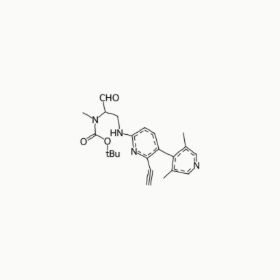 C#Cc1nc(NCC(C=O)N(C)C(=O)OC(C)(C)C)ccc1-c1c(C)cncc1C